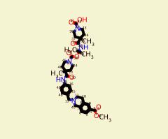 COC(=O)c1ccc2c(c1)CCN(Cc1ccc(NC(=O)C3(C)CCN(C(=O)OC(C)(C)NC(=O)C4(C)CCN(C(=O)O)CC4)CC3)cc1)C2